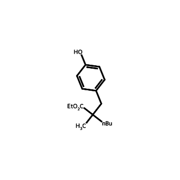 CCCCC(C)(Cc1ccc(O)cc1)C(=O)OCC